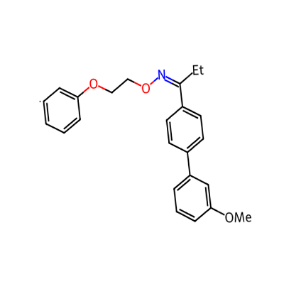 CCC(=NOCCOc1c[c]ccc1)c1ccc(-c2cccc(OC)c2)cc1